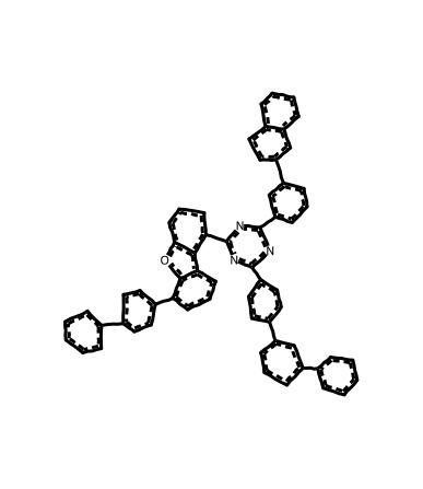 c1ccc(-c2ccc(-c3cccc4c3oc3cccc(-c5nc(-c6ccc(-c7cccc(-c8ccccc8)c7)cc6)nc(-c6cccc(-c7ccc8ccccc8c7)c6)n5)c34)cc2)cc1